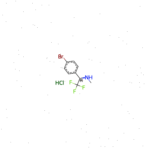 CN[C@H](c1ccc(Br)cc1)C(F)(F)F.Cl